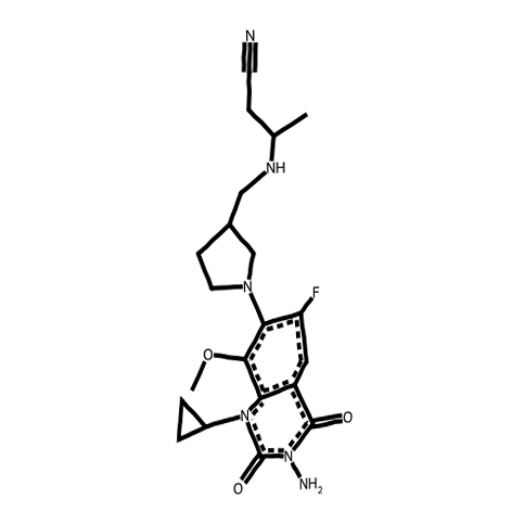 COc1c(N2CCC(CNC(C)CC#N)C2)c(F)cc2c(=O)n(N)c(=O)n(C3CC3)c12